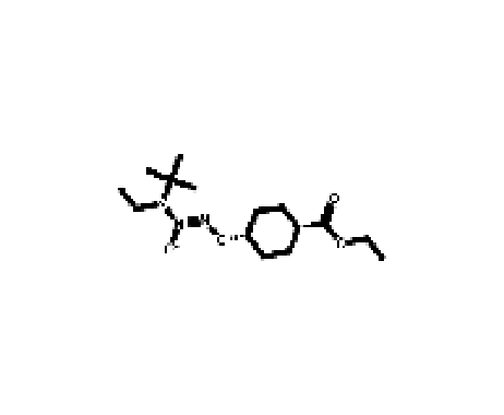 CCOC(=O)[C@H]1CC[C@H](O/N=[N+](\[O-])N(CC)C(C)(C)C)CC1